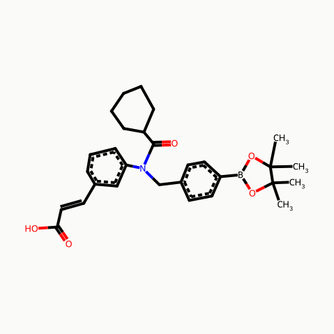 CC1(C)OB(c2ccc(CN(C(=O)C3CCCCC3)c3cccc(C=CC(=O)O)c3)cc2)OC1(C)C